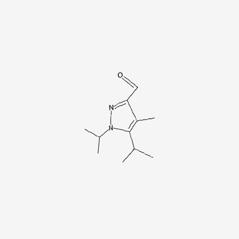 Cc1c(C=O)nn(C(C)C)c1C(C)C